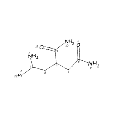 CCCC(N)CC(CC(N)=O)C(N)=O